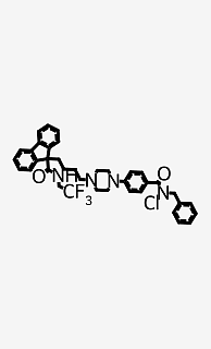 O=C(c1ccc(N2CCN(CCCCC3(C(=O)NCC(F)(F)F)c4ccccc4-c4ccccc43)CC2)cc1)N(Cl)Cc1ccccc1